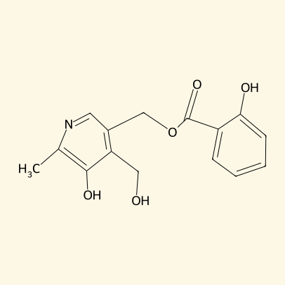 Cc1ncc(COC(=O)c2ccccc2O)c(CO)c1O